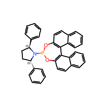 c1ccc([C@@H]2CC[C@@H](c3ccccc3)N2p2oc3ccc4ccccc4c3c3c(ccc4ccccc43)o2)cc1